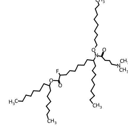 CCCCCCCCCCON(C(=O)CCCN(C)C)C(CCCCCCCCC)CCCCCCC(F)C(=O)OC(CCCCCCC)CCCCCCC